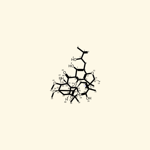 C=C(C)C(O)Cc1c(O)c2c(c3c1O[C@H](C)C3(C)C)O[C@@]13[C@@H]4C[C@@](OC)(C(=O)[C@@]1(C/C=C(/C)C(=O)O)OC4(C)C)[C@@H](OC)[C@@H]3C2=O